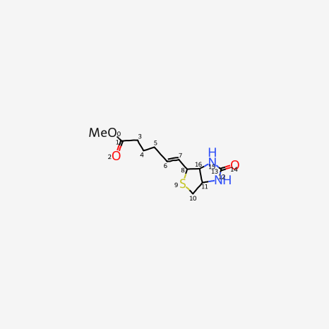 COC(=O)CCC/C=C/C1SCC2NC(=O)NC21